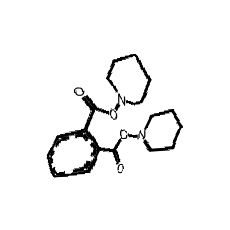 O=C(ON1CCCCC1)c1ccccc1C(=O)ON1CCCCC1